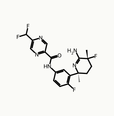 C[C@@]1(F)CC[C@@](C)(c2cc(NC(=O)c3cnc(C(F)F)cn3)ccc2F)N=C1N